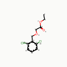 CCOC(=O)COCc1c(Cl)cccc1Cl